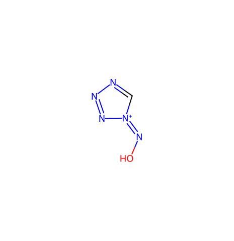 ON=[N+]1C=NN=N1